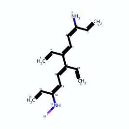 C=C\C(N)=C/C=C(C=C)/C(C=C)=C/C=C(\C=C)NI